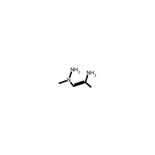 C/C(N)=C/N(C)N